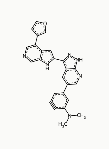 CN(C)c1c#ccc(-c2cnc3[nH]nc(-c4cc5c(-c6ccoc6)cncc5[nH]4)c3c2)c1